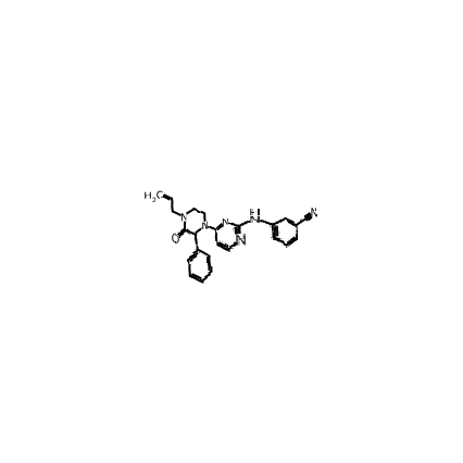 C=CCN1CCN(c2ccnc(Nc3cccc(C#N)c3)n2)C(c2ccccc2)C1=O